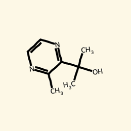 Cc1nccnc1C(C)(C)O